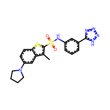 Cc1c(S(=O)(=O)Nc2cccc(-c3nnn[nH]3)c2)sc2ccc(N3CCCC3)cc12